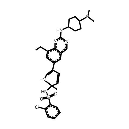 CCc1cc(C2=CNC(C)(NS(=O)(=O)c3ccccc3Cl)C=C2)cc2cnc(NC3CCC(N(C)C)CC3)nc12